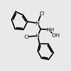 ONC(N(Cl)c1ccccc1)N(Cl)c1ccccc1